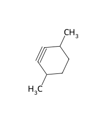 CC1C#CC(C)CC1